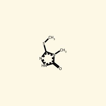 CSc1n[nH]c(=O)n1C